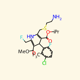 COC(=O)C1=C(CF)NC(CSCCN)=C(C(=O)OC(C)C)C1c1c(F)ccc(Cl)c1C(F)(F)F